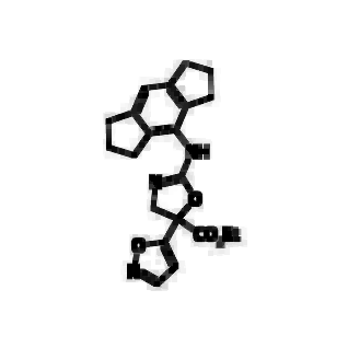 CCOC(=O)C1(c2ccno2)CN=C(Nc2c3c(cc4c2CCC4)CCC3)O1